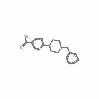 NC(=O)c1ccc(C2CCN(Cc3ccccc3)CC2)nc1